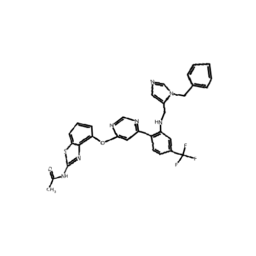 CC(=O)Nc1nc2c(Oc3cc(-c4ccc(C(F)(F)F)cc4NCc4cncn4Cc4ccccc4)ncn3)cccc2s1